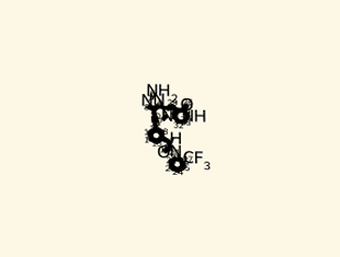 Cn1c(-c2nc(N)ncc2C#Cc2cccc(CC(=O)Nc3ccccc3C(F)(F)F)c2)cc2c1CCNC2=O